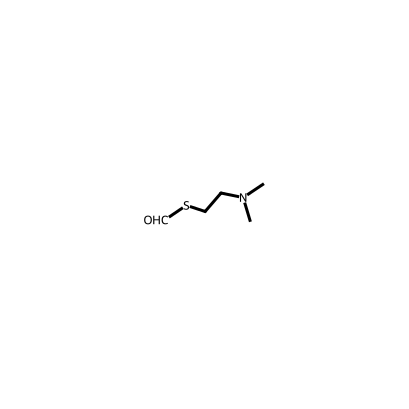 CN(C)CCSC=O